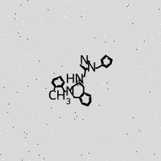 Cc1ccccc1CN1Cc2ccccc2C[C@H](NCc2cncn2Cc2ccccc2)C1